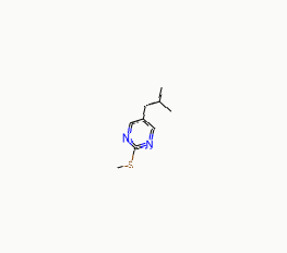 CSc1ncc(CC(C)C)cn1